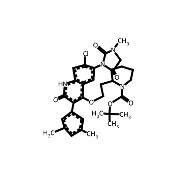 Cc1cc(C)cc(-c2c(OCCC3CCCCN3C(=O)OC(C)(C)C)c3cc(N4C(=O)CN(C)C4=O)c(Cl)cc3[nH]c2=O)c1